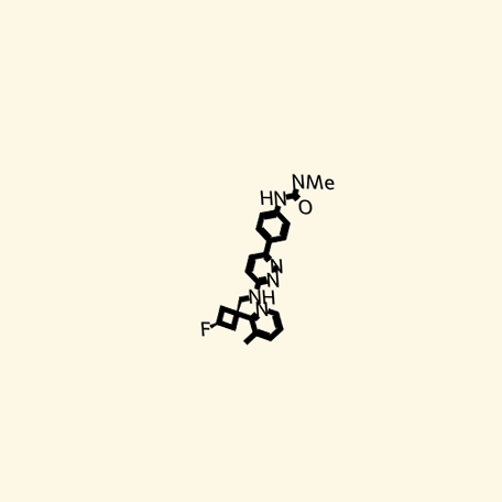 CNC(=O)Nc1ccc(-c2ccc(NC[C@]3(c4ncccc4C)C[C@H](F)C3)nn2)cc1